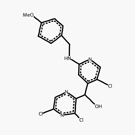 COc1ccc(CNc2cc(C(O)c3ncc(Cl)nc3Cl)c(Cl)cn2)cc1